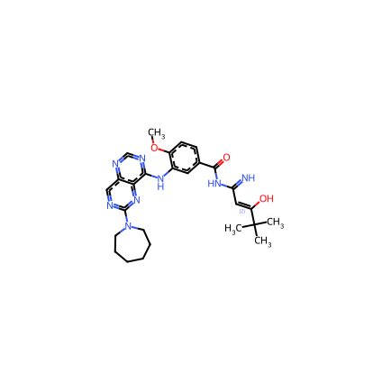 COc1ccc(C(=O)NC(=N)/C=C(\O)C(C)(C)C)cc1Nc1ncnc2cnc(N3CCCCCC3)nc12